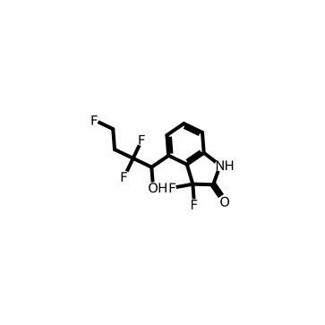 O=C1Nc2cccc(C(O)C(F)(F)CCF)c2C1(F)F